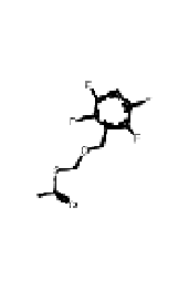 CC(=O)SCOCc1c(F)c(F)cc(F)c1F